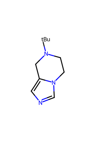 CC(C)(C)N1CCn2cncc2C1